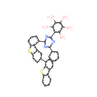 Bc1c(B)c(B)c(-c2nc(-c3ccccc3)nc(-c3cccc4sc5ccc(-c6cccc7c6sc6ccccc67)cc5c34)n2)c(B)c1B